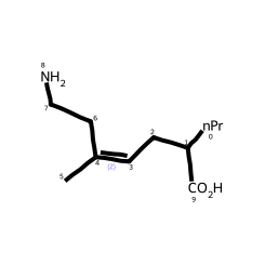 CCCC(C/C=C(/C)CCN)C(=O)O